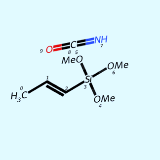 CC=C[Si](OC)(OC)OC.N=C=O